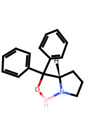 B1OC(c2ccccc2)(c2ccccc2)[C@@H]2CCCN12